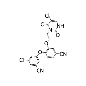 N#Cc1cc(Cl)cc(Oc2ccc(C#N)cc2OCCn2c(=O)[nH]cc(Cl)c2=O)c1